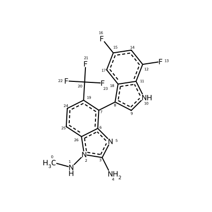 CNn1c(N)nc2c(-c3c[nH]c4c(F)cc(F)cc34)c(C(F)(F)F)ccc21